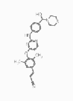 Cc1cc(/C=C/C#N)cc(C)c1Oc1ccnc(Nc2ccc(C(O)N3CCSCC3)cc2)n1